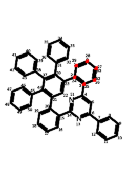 c1ccc(-c2cc(-c3ccccc3)nc(-c3ccccc3-c3cc(-c4ccccc4)c(-c4ccccc4)c(-c4ccccc4)c3-c3ccccc3)n2)cc1